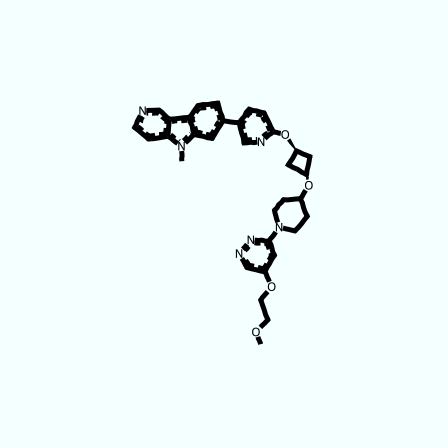 COCCOc1cnnc(N2CCC(O[C@H]3C[C@H](Oc4ccc(-c5ccc6c7cnccc7n(C)c6c5)cn4)C3)CC2)c1